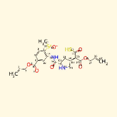 C=CCOC(=O)c1ccc([S+](C)[O-])c(NC(=O)[C@@H]2C[C@@H](C(C(=O)S)C(=O)OCC=C)CN2)c1